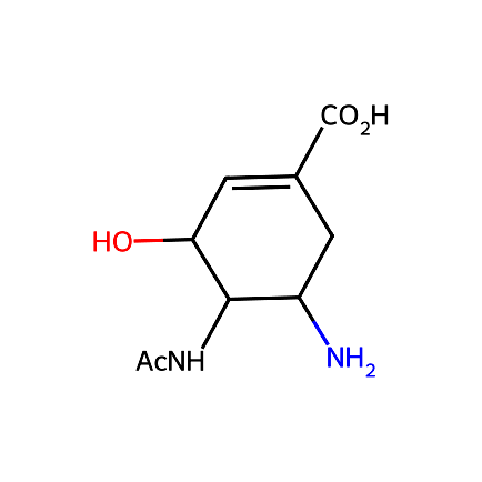 CC(=O)NC1C(O)C=C(C(=O)O)CC1N